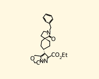 CCOC(=O)c1nn2c(c1[C@H]1CC[C@]3(CCN(Cc4ccccc4)C3=O)CC1)COCC2